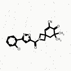 CC1(C)CC2(C=C(C#N)C1=O)CN(C(=O)c1cc(-c3ccccc3Cl)no1)C2